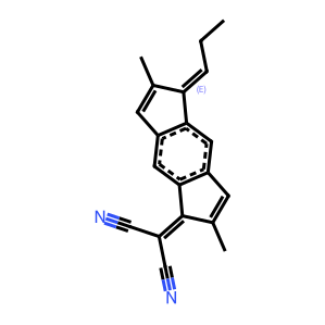 CC/C=C1\C(C)=Cc2cc3c(cc21)C=C(C)C3=C(C#N)C#N